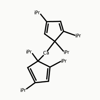 CC(C)C1=C[C]([Ca][C]2(C(C)C)C=C(C(C)C)C=C2C(C)C)(C(C)C)C(C(C)C)=C1